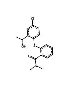 CC(O)c1cc(Cl)ccc1Sc1ccccc1C(=O)N(C)C